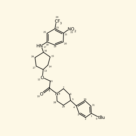 CC(C)(C)c1ccc(C2CCN(C(=O)COC3CCC(Nc4ccc([N+](=O)[O-])c(C(F)(F)F)c4)CC3)CC2)cc1